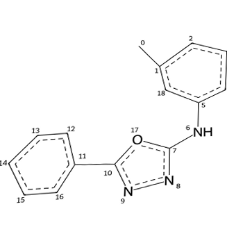 Cc1cccc(Nc2nnc(-c3ccccc3)o2)c1